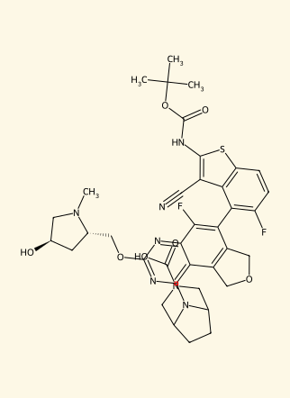 CN1C[C@H](O)C[C@H]1COc1nc(N2C3CCC2CN(C(=O)O)C3)c2c3c(c(-c4c(F)ccc5sc(NC(=O)OC(C)(C)C)c(C#N)c45)c(F)c2n1)COC3